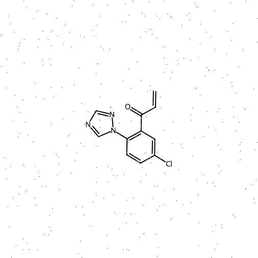 C=CC(=O)c1cc(Cl)ccc1-n1cncn1